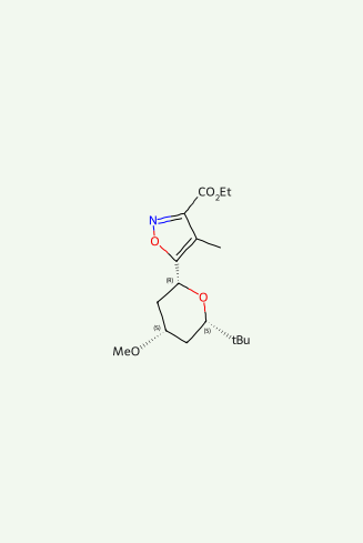 CCOC(=O)c1noc([C@H]2C[C@@H](OC)C[C@@H](C(C)(C)C)O2)c1C